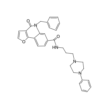 O=C(NCCCN1CCN(c2ccccc2)CC1)c1ccc2c3occc3c(=O)n(Cc3ccccc3)c2c1